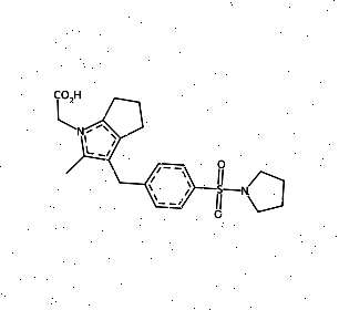 Cc1c(Cc2ccc(S(=O)(=O)N3CCCC3)cc2)c2c(n1CC(=O)O)CCC2